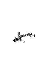 N#Cc1cc2c(nc(N)n3nc(-c4ccccn4)nc23)n1CCN1CCN(c2ccc(OCC(=O)O)cc2)CC1